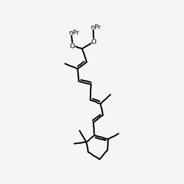 CCCOC(C=C(C)C=CC=C(C)C=CC1=C(C)CCCC1(C)C)OCCC